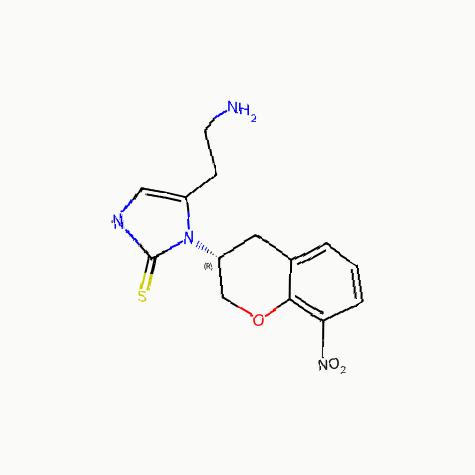 NCCC1=C[N]C(=S)N1[C@H]1COc2c(cccc2[N+](=O)[O-])C1